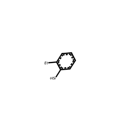 CCc1ccccc1[SiH]